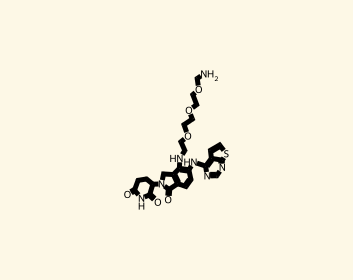 NCOCCOCCOCCNc1c(Nc2ncnc3sccc23)ccc2c1CN(C1CCC(=O)NC1=O)C2=O